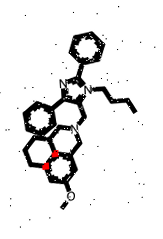 CCCCn1c(-c2ccccc2)nc(-c2ccccc2)c1CN(Cc1cccc(OC)c1)CC1CCCCC1